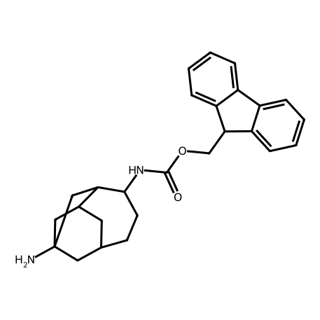 NC12CC3CCC(NC(=O)OCC4c5ccccc5-c5ccccc54)C(C1)C(C3)C2